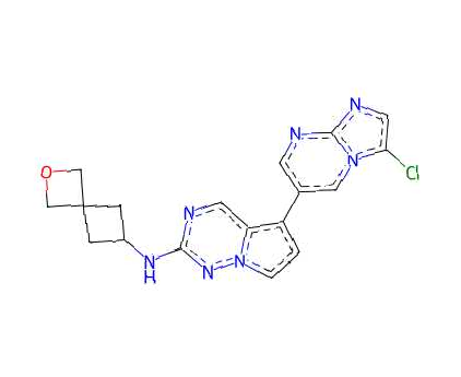 Clc1cnc2ncc(-c3ccn4nc(NC5CC6(COC6)C5)ncc34)cn12